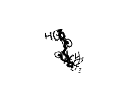 C[C@@H]1CN(CCCC(=O)N2CCC3(CC3)[C@H](O)C2)C(=O)CCN1c1ccc(C(F)(F)F)c(Cl)c1